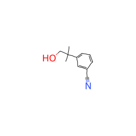 CC(C)(CO)c1cccc(C#N)c1